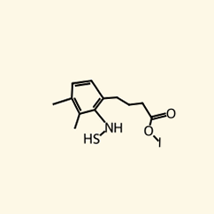 Cc1ccc(CCCC(=O)OI)c(NS)c1C